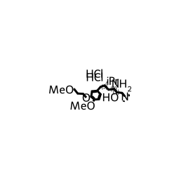 COCCCOc1cc(C[C@@H](C[C@H](N)[C@@H](O)CN(C)C)C(C)C)ccc1OC.Cl.Cl